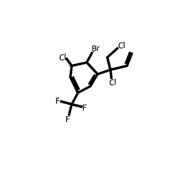 C=CC(Cl)(CCl)C1=CC(C(F)(F)F)=C[C](Cl)C1Br